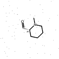 CN1CCCC[C@@H]1C=O